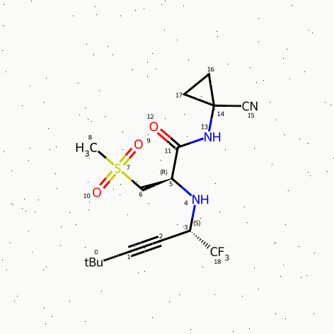 CC(C)(C)C#C[C@H](N[C@@H](CS(C)(=O)=O)C(=O)NC1(C#N)CC1)C(F)(F)F